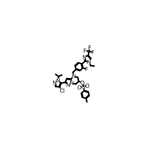 CCn1cc(C(F)(F)F)nc1-c1ccc(CN2CC(OS(=O)(=O)c3ccc(C)cc3)Cn3nc(-c4c(Cl)cnn4C(C)C)cc32)cc1F